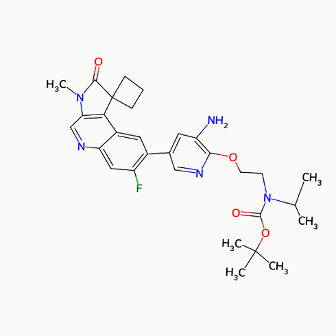 CC(C)N(CCOc1ncc(-c2cc3c4c(cnc3cc2F)N(C)C(=O)C42CCC2)cc1N)C(=O)OC(C)(C)C